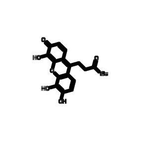 CC(C)(C)C(=O)CCc1c2ccc(=O)c(O)c-2oc2c(O)c(O)ccc12